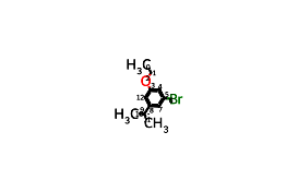 CCOc1cc(Br)cc([C](C)C)c1